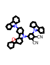 N#Cc1cc(-n2c3ccc(-n4c5ccccc5c5ccccc54)cc3c3c4oc5ccccc5c4ccc32)cc(-n2c3ccccc3c3ccccc32)c1C#N